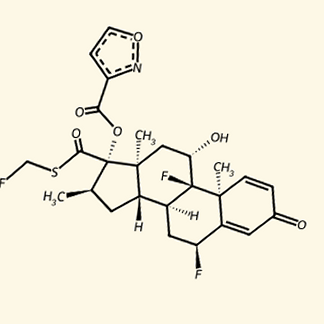 C[C@@H]1C[C@H]2[C@@H]3C[C@H](F)C4=CC(=O)C=C[C@]4(C)[C@@]3(F)[C@@H](O)C[C@]2(C)[C@]1(OC(=O)c1ccon1)C(=O)SCF